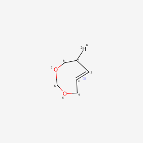 [2H]C1/C=C/COCOC1